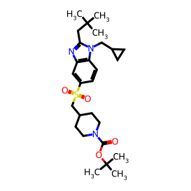 CC(C)(C)Cc1nc2cc(S(=O)(=O)CC3CCN(C(=O)OC(C)(C)C)CC3)ccc2n1CC1CC1